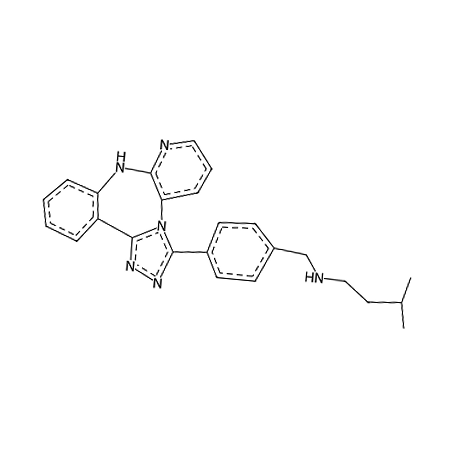 CC(C)CCNCc1ccc(-c2nnc3n2-c2cccnc2Nc2ccccc2-3)cc1